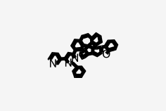 C1=Cc2ccc(-c3cc(-c4cccnc4)nc(-c4ccccc4)n3)cc2C2(c3ccccc31)c1ccccc1-c1cc3oc4ccccc4c3cc12